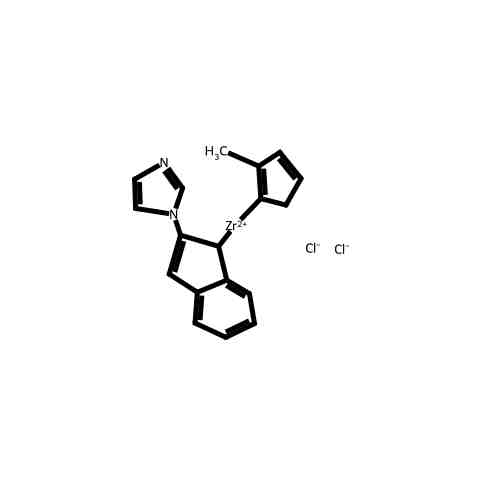 CC1=[C]([Zr+2][CH]2C(n3ccnc3)=Cc3ccccc32)CC=C1.[Cl-].[Cl-]